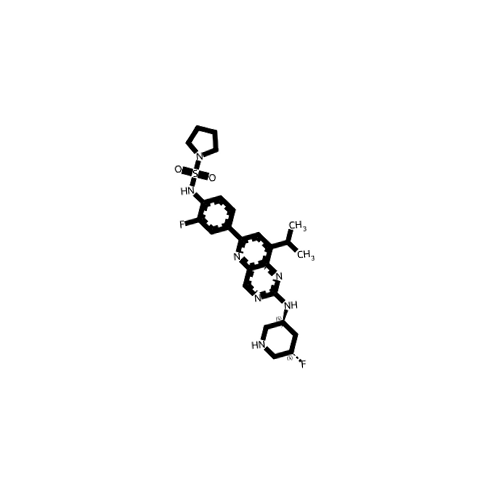 CC(C)c1cc(-c2ccc(NS(=O)(=O)N3CCCC3)c(F)c2)nc2cnc(N[C@@H]3CNC[C@@H](F)C3)nc12